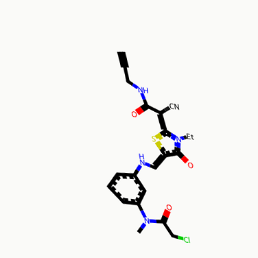 C#CCNC(=O)C(C#N)=c1sc(=CNc2cccc(N(C)C(=O)CCl)c2)c(=O)n1CC